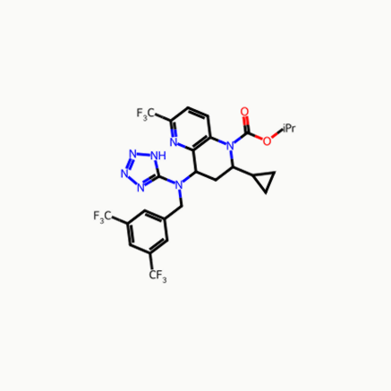 CC(C)OC(=O)N1c2ccc(C(F)(F)F)nc2C(N(Cc2cc(C(F)(F)F)cc(C(F)(F)F)c2)c2nnn[nH]2)CC1C1CC1